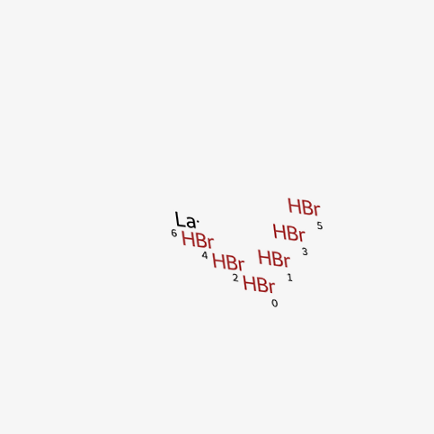 Br.Br.Br.Br.Br.Br.[La]